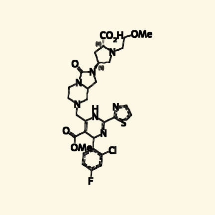 COCCN1C[C@@H](N2CC3CN(CC4=C(C(=O)OC)C(c5ccc(F)cc5Cl)N=C(c5nccs5)N4)CCN3C2=O)C[C@@H]1C(=O)O